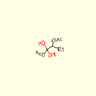 CCC(OC(C)=O)C(O)(O)OC(C)=O